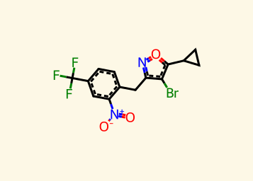 O=[N+]([O-])c1cc(C(F)(F)F)ccc1Cc1noc(C2CC2)c1Br